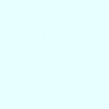 Cc1ccc(N)cc1C1Cc2cnc(Cl)cc2N(C)C1=O